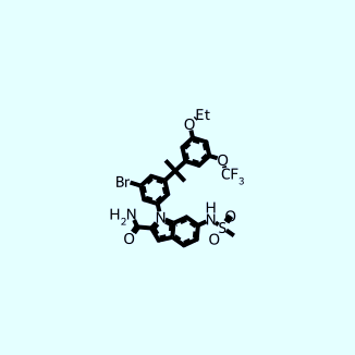 CCOc1cc(OC(F)(F)F)cc(C(C)(C)c2cc(Br)cc(-n3c(C(N)=O)cc4ccc(NS(C)(=O)=O)cc43)c2)c1